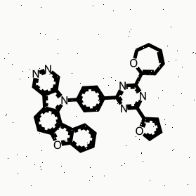 C1=CCCOC(c2nc(-c3ccc(-n4c5cnncc5c5ccc6oc7ccccc7c6c54)cc3)nc(-c3ccco3)n2)=C1